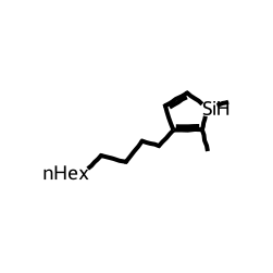 CCCCCCCCCCC1=C(C)[SiH](C)C=C1